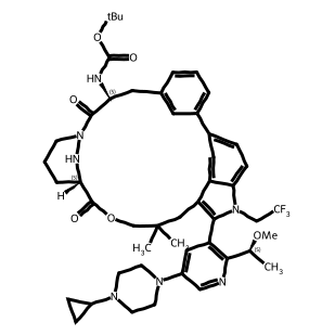 CO[C@@H](C)c1ncc(N2CCN(C3CC3)CC2)cc1-c1c2c3cc(ccc3n1CC(F)(F)F)-c1cccc(c1)C[C@H](NC(=O)OC(C)(C)C)C(=O)N1CCC[C@H](N1)C(=O)OCC(C)(C)C2